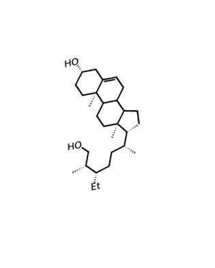 CC[C@@H](CC[C@@H](C)[C@H]1CCC2C3CC=C4C[C@@H](O)CC[C@]4(C)C3CC[C@@]21C)[C@H](C)CO